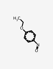 CCOc1ccc(N=O)cc1